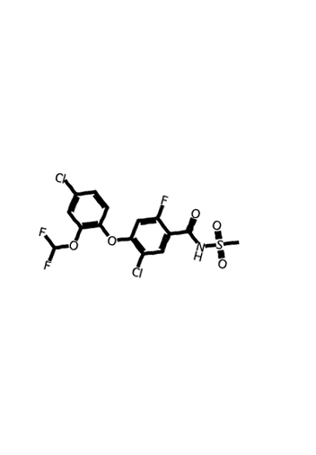 CS(=O)(=O)NC(=O)c1cc(Cl)c(Oc2ccc(Cl)cc2OC(F)F)cc1F